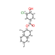 Cc1ccc2c(C)c(OC(=O)c3ccc(O)c(Cl)c3)ccc2c1